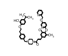 Cc1cc(C=CC(=O)N2CCN(Cc3ccc(CCOc4ccc(C(C)C)cc4)cc3)CC2)cc(Cl)c1Oc1ccc(OCc2ccccn2)cn1.Cl